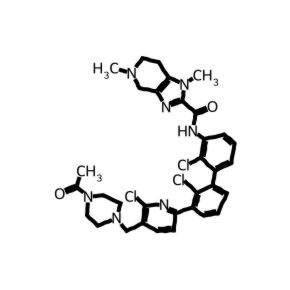 CC(=O)N1CCN(Cc2ccc(-c3cccc(-c4cccc(NC(=O)c5nc6c(n5C)CCN(C)C6)c4Cl)c3Cl)nc2Cl)CC1